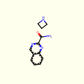 C1CNC1.NC(=O)c1ncc2ccccc2n1